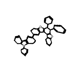 C1=CCC(C2c3oc4c(c3-c3c(oc5c3C=CCC5)C2C2=CCCC=C2)C=C(C2=Cc3c5c(n(C6=CCCC=C6)c3CC2)CCC=C5)CC4)C=C1